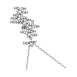 CCCCCCCCCCCCC/C=C/[C@@H](O)[C@H](CO[C@@H]1OC(CO)[C@@H](O[C@@H]2OC(CO)[C@H](O)[C@H](O[C@@H]3OC(CO)[C@@H](O)[C@H](O[C@@H]4OC(CO)[C@H](O)[C@H](O)C4O[C@H]4OC(C)[C@@H](O)C(O)[C@@H]4O)C3NC(C)=O)C2O)[C@H](O)C1O)NC(=O)CCCCCCCCCCCCCCCCCCCCCCC